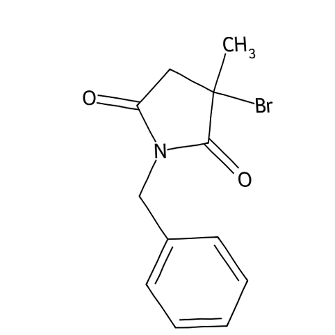 CC1(Br)CC(=O)N(Cc2ccccc2)C1=O